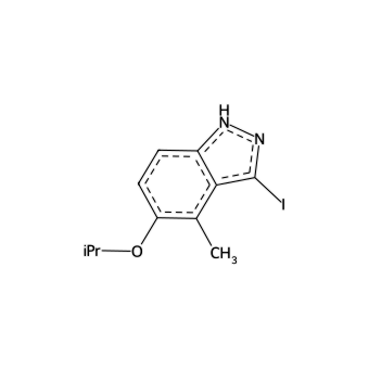 Cc1c(OC(C)C)ccc2[nH]nc(I)c12